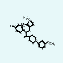 COc1cccc(N2CCC(C(=O)N3Cc4cnn(C)c4Nc4cc(Cl)ccc43)CC2)c1